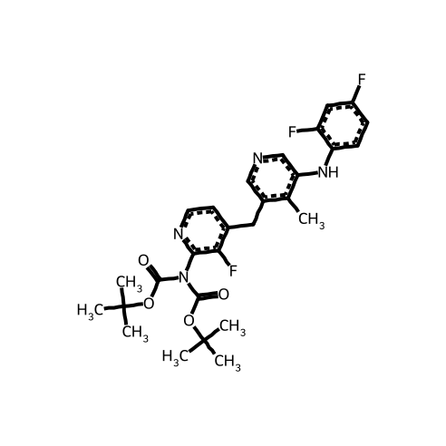 Cc1c(Cc2ccnc(N(C(=O)OC(C)(C)C)C(=O)OC(C)(C)C)c2F)cncc1Nc1ccc(F)cc1F